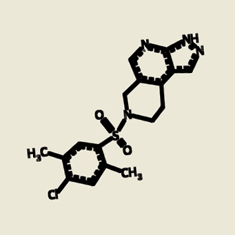 Cc1cc(S(=O)(=O)N2CCc3c(cnc4[nH]ncc34)C2)c(C)cc1Cl